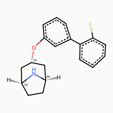 Fc1ccccc1-c1cccc(O[C@@H]2C[C@H]3CC[C@@H](C2)N3)c1